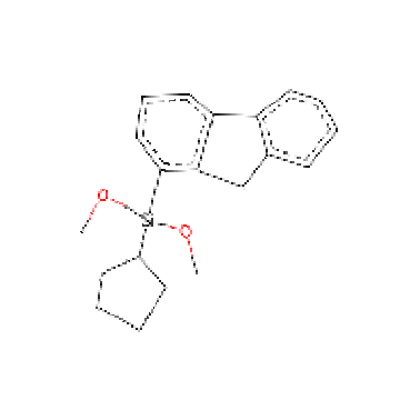 CO[Si](OC)(c1cccc2c1Cc1ccccc1-2)C1CCCC1